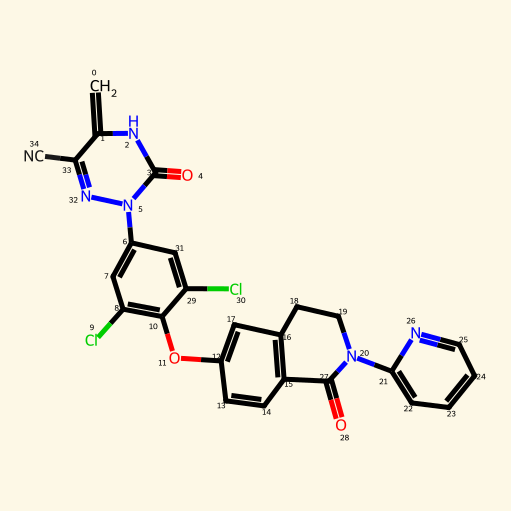 C=C1NC(=O)N(c2cc(Cl)c(Oc3ccc4c(c3)CCN(c3ccccn3)C4=O)c(Cl)c2)N=C1C#N